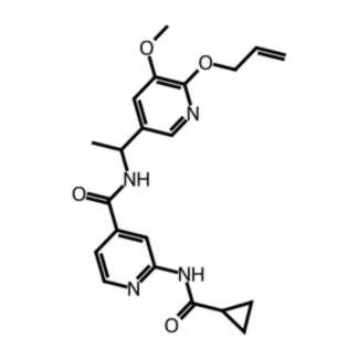 C=CCOc1ncc(C(C)NC(=O)c2ccnc(NC(=O)C3CC3)c2)cc1OC